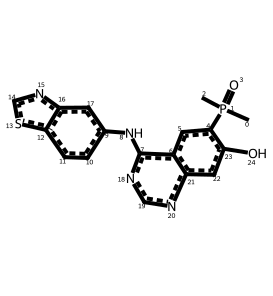 CP(C)(=O)c1cc2c(Nc3ccc4scnc4c3)ncnc2cc1O